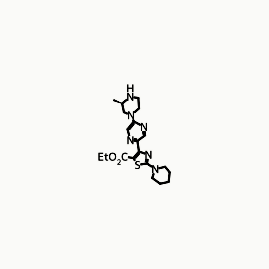 CCOC(=O)c1sc(N2CCCCC2)nc1-c1cnc(N2CCN[C@H](C)C2)cn1